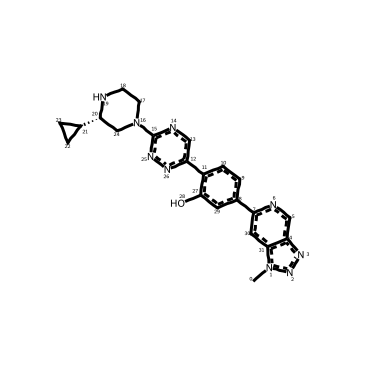 Cn1nnc2cnc(-c3ccc(-c4cnc(N5CCN[C@@H](C6CC6)C5)nn4)c(O)c3)cc21